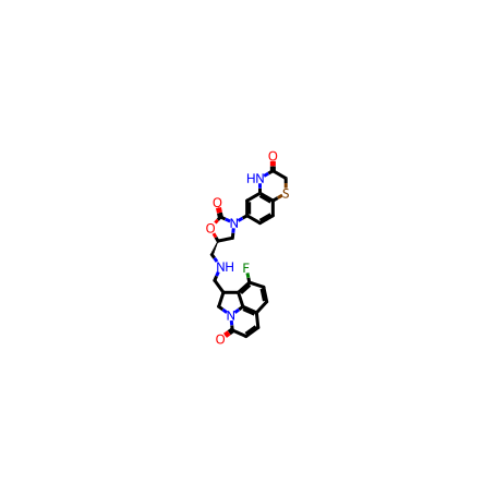 O=C1CSc2ccc(N3C[C@@H](CNCC4Cn5c(=O)ccc6ccc(F)c4c65)OC3=O)cc2N1